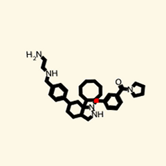 NCCNCc1ccc(C2CCC3CNN(Cc4cccc(C(=O)N5CCCC5)c4)C3(C3CCCCCCC3)C2)cc1